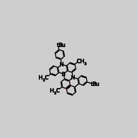 Cc1ccc2c(c1)B1c3cc(C)ccc3N(c3ccc(C(C)(C)C)cc3-c3ccccc3)c3cc(C)cc(c31)N2c1ccc(C(C)(C)C)cc1